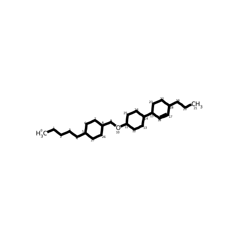 CCCCCC1CCC(COC2CCC(C3C=CC(CCC)CC3)CC2)CC1